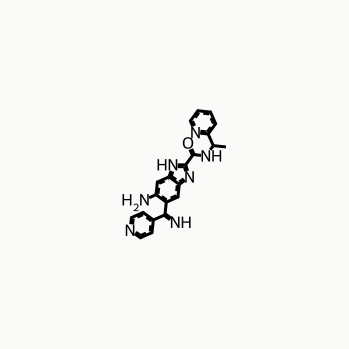 CC(NC(=O)c1nc2cc(C(=N)c3ccncc3)c(N)cc2[nH]1)c1ccccn1